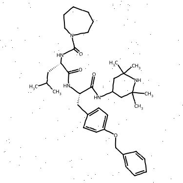 CC(C)C[C@H](NC(=O)N1CCCCCC1)C(=O)N[C@@H](Cc1ccc(OCc2ccccc2)cc1)C(=O)NC1CC(C)(C)NC(C)(C)C1